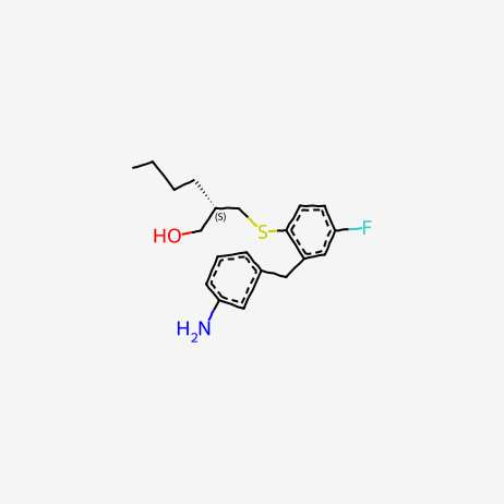 CCCC[C@@H](CO)CSc1ccc(F)cc1Cc1cccc(N)c1